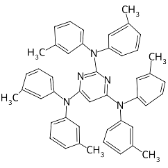 Cc1cccc(N(c2cccc(C)c2)c2cc(N(c3cccc(C)c3)c3cccc(C)c3)nc(N(c3cccc(C)c3)c3cccc(C)c3)n2)c1